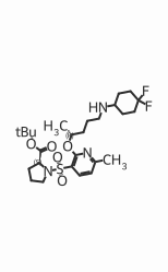 Cc1ccc(S(=O)(=O)N2CCC[C@H]2C(=O)OC(C)(C)C)c(O[C@H](C)CCCNC2CCC(F)(F)CC2)n1